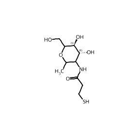 CC1OC(CO)[C@@H](O)[C@H](O)C1NC(=O)CCS